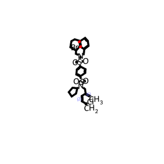 C=C(Cl)/C=C\C(=C/C)CN(C1CCCC1)S(=O)(=O)c1ccc(S(=O)(=O)N(Cc2ccccc2Br)CC2CCCCC2)cc1